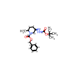 CC1CCC(=NNC(=O)OC(C)(C)C)CN1C(=O)OCc1ccccc1